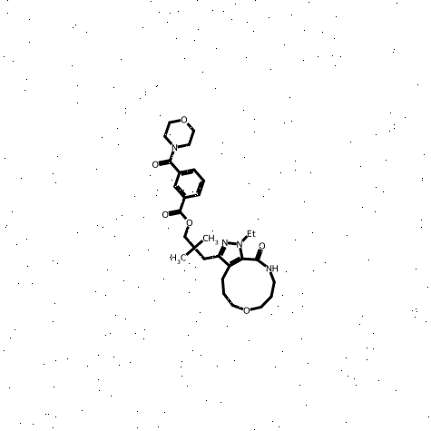 CCn1nc(CC(C)(C)COC(=O)c2cccc(C(=O)N3CCOCC3)c2)c2c1C(=O)NCCCOCCC2